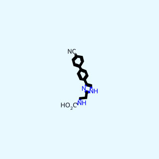 N#Cc1ccc(-c2ccc(-c3c[nH]c(CCNC(=O)O)n3)cc2)cc1